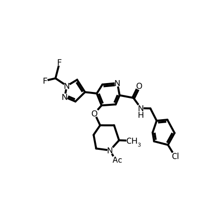 CC(=O)N1CCC(Oc2cc(C(=O)NCc3ccc(Cl)cc3)ncc2-c2cnn(C(F)F)c2)CC1C